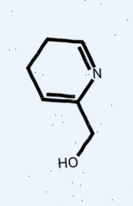 OCC1=CCCC=N1